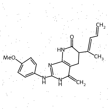 C=C/C=C(\C)C1CC2=C(N=C(Nc3ccc(OC)cc3)NC2=C)NC1=O